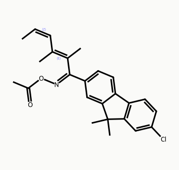 C/C=C\C(C)=C(/C)C(=NOC(C)=O)c1ccc2c(c1)C(C)(C)c1cc(Cl)ccc1-2